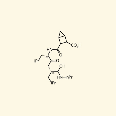 CCCNC(O)[C@@H](CC(=O)[C@H](CC(C)C)NC(=O)C1C2CC2C1C(=O)O)CC(C)C